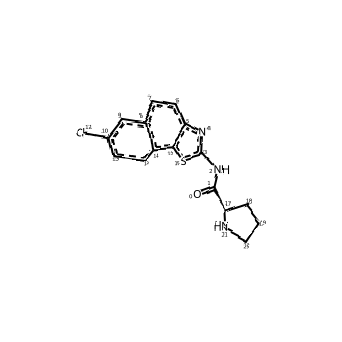 O=C(Nc1nc2ccc3cc(Cl)ccc3c2s1)[C@H]1CCCN1